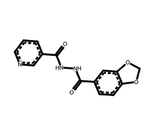 O=C(NNC(=O)c1ccc2c(c1)OCO2)c1cccnc1